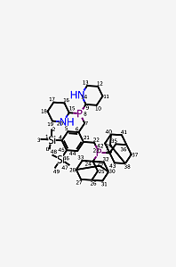 C[Si](C)(C)c1cc(CP(C2CCCCN2)C2CCCCN2)c(CP(C23CC4CC(CC(C4)C2)C3)C23CC4CC(CC(C4)C2)C3)cc1[Si](C)(C)C